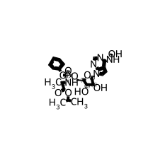 CC(C)OC(=O)[C@H](C)N[P@](=O)(OC[C@H]1O[C@@H](n2ccc3c(NO)ncnc32)[C@H](O)[C@@H]1O)Oc1ccccc1